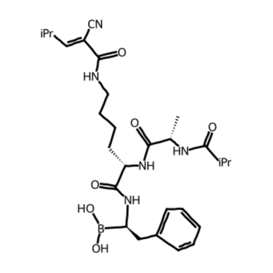 CC(C)C=C(C#N)C(=O)NCCCC[C@H](NC(=O)[C@H](C)NC(=O)C(C)C)C(=O)N[C@@H](Cc1ccccc1)B(O)O